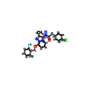 Cc1nc2c(OCc3c(F)cccc3F)cccn2c1NC(=O)Cc1ccc(Cl)cc1